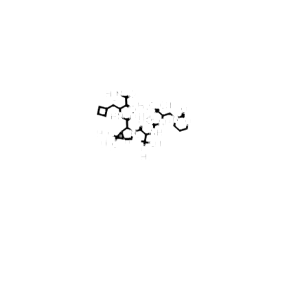 CC(C)(C)C(CN1CCCOC1=O)NC(=O)NC(C(=O)N1CC2C(C1C(=O)NC(CC1CCC1)C(=O)C(N)=O)C2(C)C)C(C)(C)C